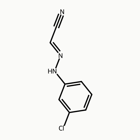 N#CC=NNc1cccc(Cl)c1